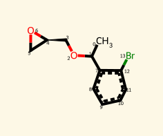 CC(OC[C@H]1CO1)c1ccccc1Br